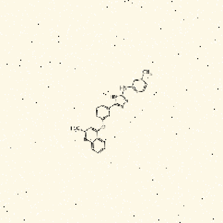 Cc1cccc(Nc2nnc(-c3cccc(Oc4cc(C)nc5ccccc45)c3)[nH]2)c1